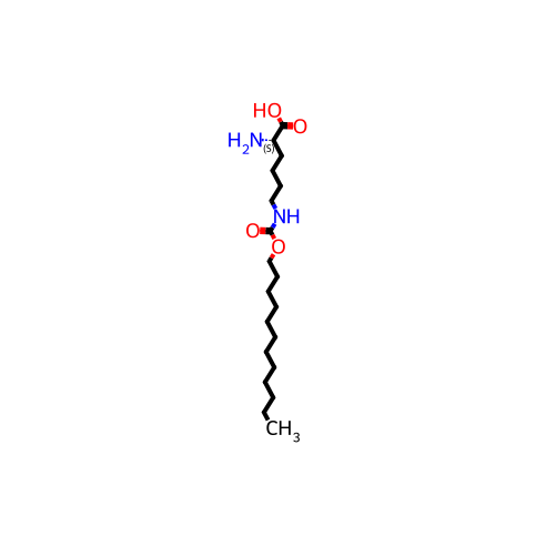 CCCCCCCCCCCCOC(=O)NCCCC[C@H](N)C(=O)O